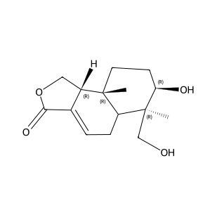 C[C@]1(CO)C2CC=C3C(=O)OC[C@@H]3[C@]2(C)CC[C@H]1O